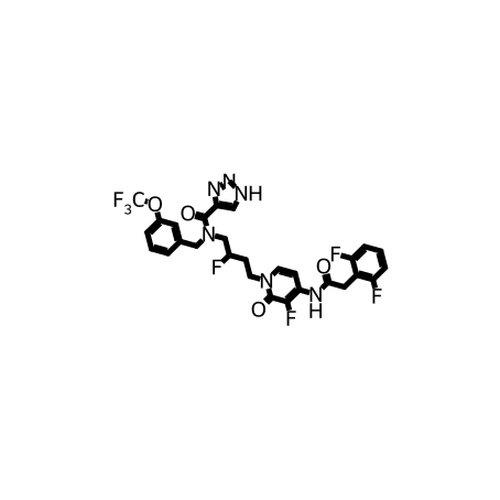 O=C(Cc1c(F)cccc1F)Nc1ccn(CCC(F)CN(Cc2cccc(OC(F)(F)F)c2)C(=O)c2c[nH]nn2)c(=O)c1F